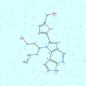 CNCC(CCO)n1c(-c2ccc(CO)o2)nc2cnc3[nH]ccc3c21